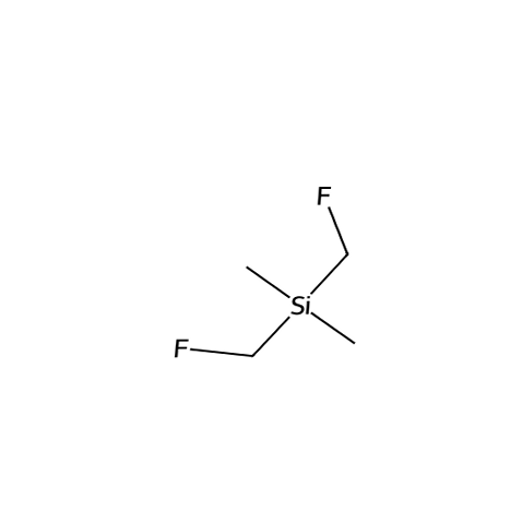 C[Si](C)(CF)CF